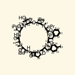 CCC[C@H]1C(=O)NC(Cc2ccccc2)C(=O)N(C)C(Cc2ccc(I)cc2)C(=O)N2CCC[C@H]2C(=O)NC([C@H](C)CC)C(=O)N(C)[C@@H](C)C(=O)N[C@@H](CC(C)C)C(=O)N(C)[C@@H](C(C)(C)O)C(=O)OC([C@H](C)CC)C(=O)N1C